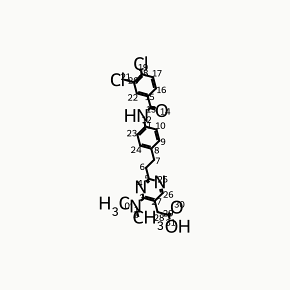 CN(C)c1nc(CCc2ccc(NC(=O)c3ccc(Cl)c(Cl)c3)cc2)ncc1CC(=O)O